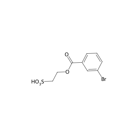 O=C(OCCS(=O)(=O)O)c1cccc(Br)c1